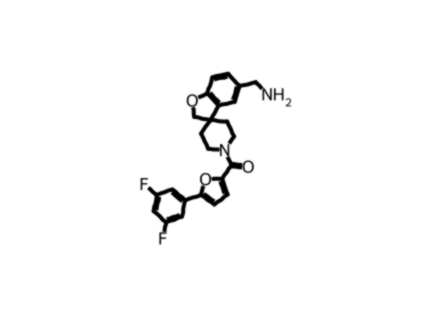 NCc1ccc2c(c1)C1(CCN(C(=O)c3ccc(-c4cc(F)cc(F)c4)o3)CC1)CO2